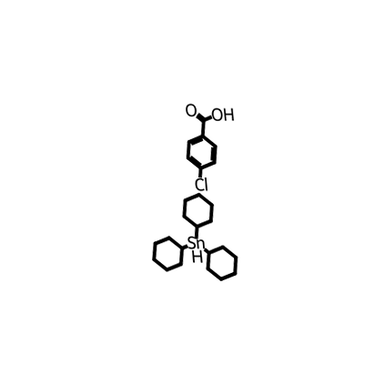 C1CC[CH]([SnH]([CH]2CCCCC2)[CH]2CCCCC2)CC1.O=C(O)c1ccc(Cl)cc1